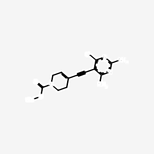 CC(C)(C)OC(=O)N1CC=C(C#Cc2c(N)nc(N)nc2Cl)CC1